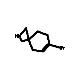 CC(C)C1=CCC2(CC1)CNC2